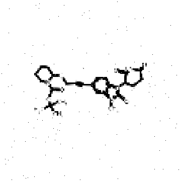 Cn1c(=O)n(C2CCC(=O)NC2=O)c2ccc(C#CCOC3CCCCN3C(=O)OC(C)(C)C)cc21